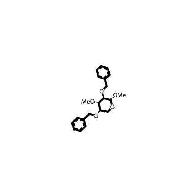 CO[C@@H]1OC[C@@H](OCc2ccccc2)[C@H](OC)[C@H]1OCc1ccccc1